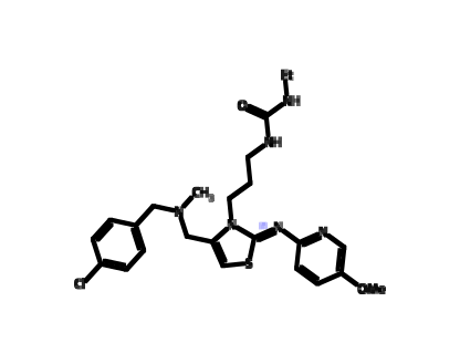 CCNC(=O)NCCCn1c(CN(C)Cc2ccc(Cl)cc2)cs/c1=N\c1ccc(OC)cn1